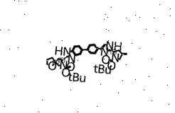 C=C1C[C@@H](c2nc(-c3ccc(-c4ccc5[nH]c([C@@H]6C[C@@]7(CCCO7)CN6C(=O)OC(C)(C)C)nc5c4)cc3)c[nH]2)N(C(=O)OC(C)(C)C)C1